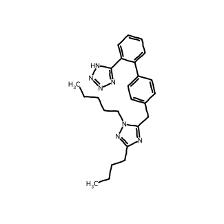 CCCCCn1nc(CCCC)nc1Cc1ccc(-c2ccccc2-c2nnn[nH]2)cc1